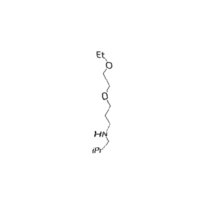 CCOCCOCCCNCC(C)C